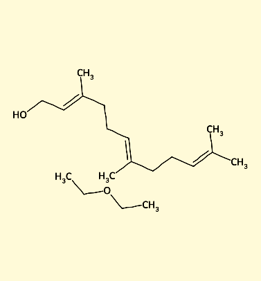 CC(C)=CCCC(C)=CCCC(C)=CCO.CCOCC